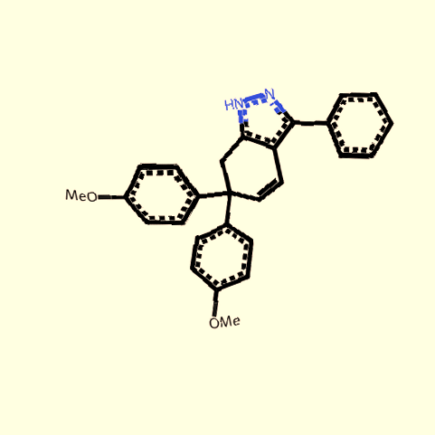 COc1ccc(C2(c3ccc(OC)cc3)C=Cc3c(-c4ccccc4)n[nH]c3C2)cc1